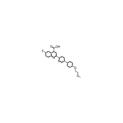 COCCOc1ccc(-c2ccc(-c3cc(C(=O)O)c4cc(F)ccc4n3)nc2)cc1